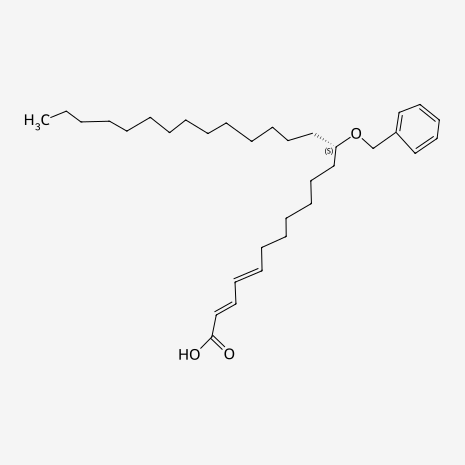 CCCCCCCCCCCCCC[C@@H](CCCCCCC=CC=CC(=O)O)OCc1ccccc1